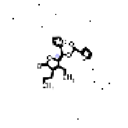 CCCC1=C(CC)/C(=C(\OC(=O)c2ccco2)c2ccco2)OC1=O